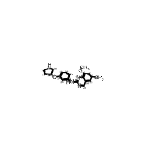 Bc1cc(OC)c2nc(Nc3cccc(O[C@@H]4CCNC4)c3)ncc2c1